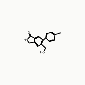 O=C1NCc2cc(CO)c(-c3ccc(F)cc3)cc21